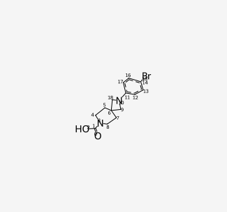 O=C(O)N1CCC2(CC1)CN(c1ccc(Br)cc1)C2